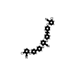 CC(C)(c1ccc(Oc2cccc(Cl)c2C#N)cc1)c1ccc(Oc2cccc(Oc3ccc(-c4ccc(Oc5cccc(Cl)c5C#N)cc4)cc3)c2C#N)cc1